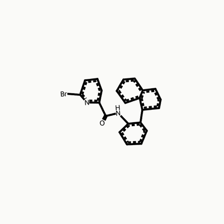 O=C(Nc1ccccc1-c1cccc2ccccc12)c1cccc(Br)n1